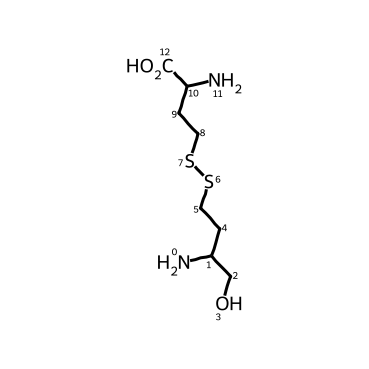 NC(CO)CCSSCCC(N)C(=O)O